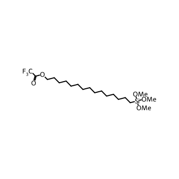 CO[Si](CCCCCCCCCCCCCCCOC(=O)C(F)(F)F)(OC)OC